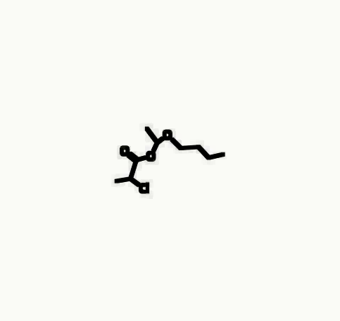 CCCCOC(C)OC(=O)C(C)Cl